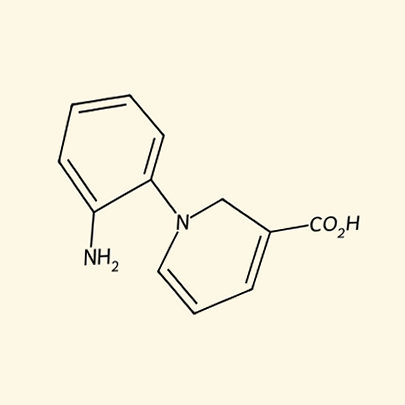 Nc1ccccc1N1C=CC=C(C(=O)O)C1